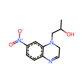 CC(O)CN1CC=Nc2ccc([N+](=O)[O-])cc21